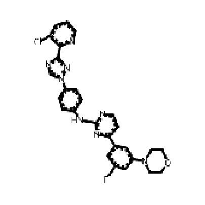 Fc1cc(-c2ccnc(Nc3ccc(-n4cnc(-c5ncccc5Cl)n4)cc3)n2)cc(N2CCOCC2)c1